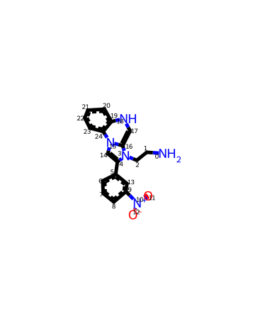 NCCN1C(c2cccc([N+](=O)[O-])c2)=CN2C1=CNc1ccccc12